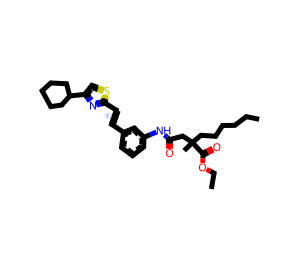 CCCCCCC(C)(CC(=O)Nc1cccc(/C=C/c2nc(C3CCCCC3)cs2)c1)C(=O)OCC